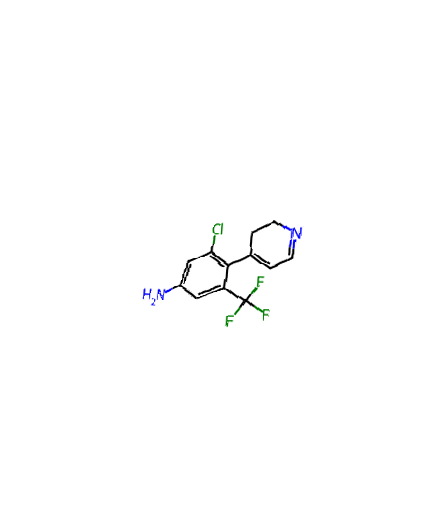 Nc1cc(Cl)c(C2=CC=NCC2)c(C(F)(F)F)c1